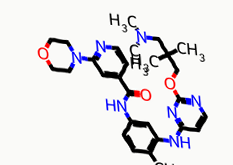 Cc1ccc(NC(=O)c2ccnc(N3CCOCC3)c2)cc1Nc1ccnc(OCC(C)(C)CN(C)C)n1